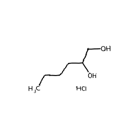 CCCCC(O)CO.Cl